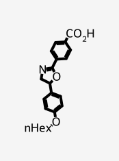 CCCCCCOc1ccc(C2CN=C(c3ccc(C(=O)O)cc3)O2)cc1